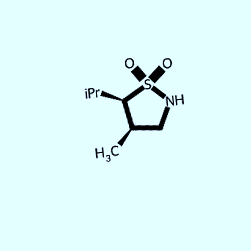 CC(C)[C@@H]1[C@H](C)CNS1(=O)=O